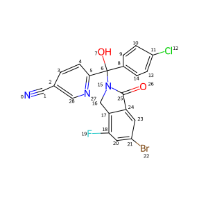 N#Cc1ccc(C(O)(c2ccc(Cl)cc2)N2Cc3c(F)cc(Br)cc3C2=O)nc1